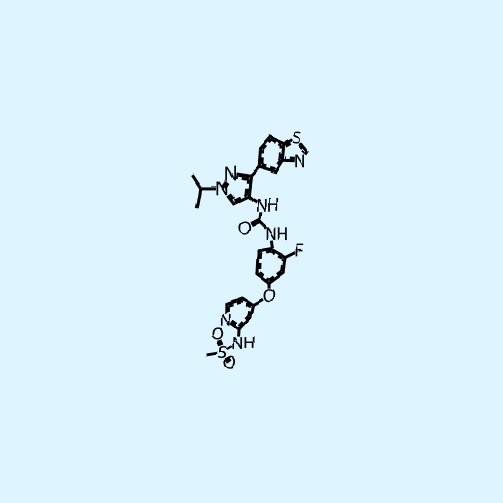 CC(C)n1cc(NC(=O)Nc2ccc(Oc3ccnc(NS(C)(=O)=O)c3)cc2F)c(-c2ccc3scnc3c2)n1